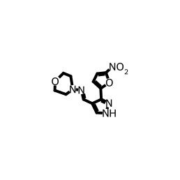 O=[N+]([O-])c1ccc(-c2n[nH]cc2C=NN2CCOCC2)o1